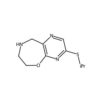 CC(C)Sc1cnc2c(n1)OCCNC2